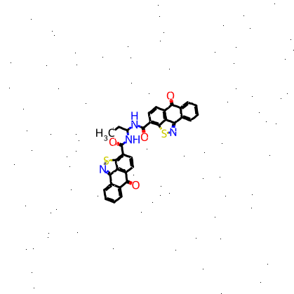 CCC(NC(=O)c1ccc2c3c(nsc13)-c1ccccc1C2=O)NC(=O)c1ccc2c3c(nsc13)-c1ccccc1C2=O